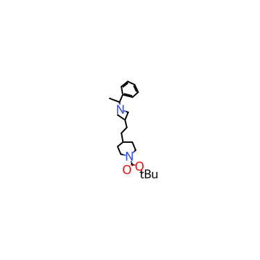 CC(c1ccccc1)N1CC(CCC2CCN(C(=O)OC(C)(C)C)CC2)C1